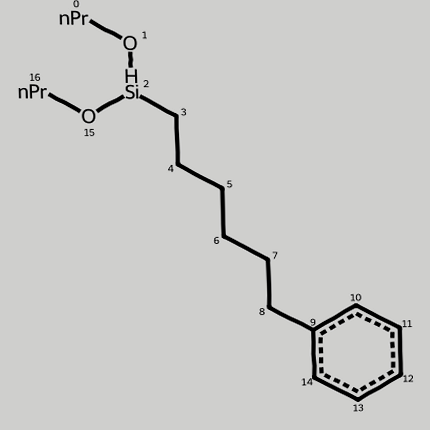 CCCO[SiH](CCCCCCc1ccccc1)OCCC